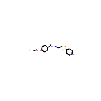 CNCCOc1ccc(C(=O)NCCCS(=O)(=O)c2ccc([N+](=O)[O-])cc2)cc1